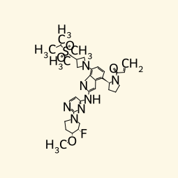 C=CC(=O)N1CCC[C@H]1c1ccc(N2CC(C(C)(C)S(=O)(=O)C(C)C)C2)c2cnc(Nc3ccnc(N4CC[C@@H](OC)[C@@H](F)C4)n3)cc12